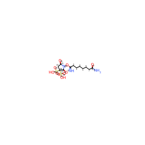 N=C(CCCCCCC(N)=O)ON1C(=O)CC(S(=O)(=O)O)(S(=O)(=O)O)C1=O